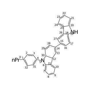 CCCc1ccc(N2c3ccccc3C3C=C(c4ccc5[nH]c6ccccc6c5c4)C=CC32)cc1